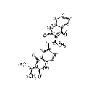 CC(C)n1c(=O)[nH]c2cnc(CC(C)n3c(=O)[nH]c4ccccc4c3=O)cc2c1=O